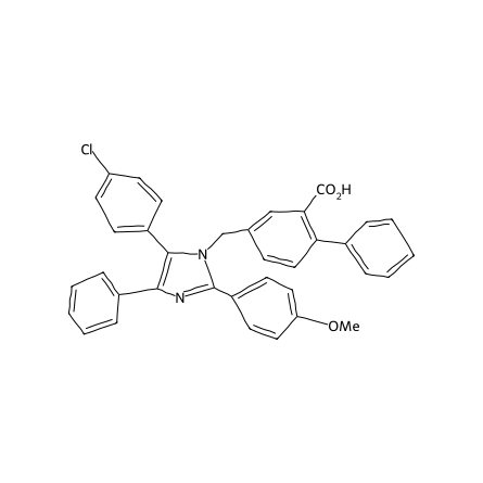 COc1ccc(-c2nc(-c3ccccc3)c(-c3ccc(Cl)cc3)n2Cc2ccc(-c3ccccc3)c(C(=O)O)c2)cc1